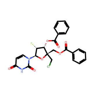 O=C(OC[C@@]1(CCl)O[C@@H](n2ccc(=O)[nH]c2=O)[C@H](F)[C@@H]1OC(=O)c1ccccc1)c1ccccc1